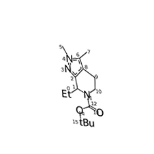 CCC1c2nn(C)c(C)c2CCN1C(=O)OC(C)(C)C